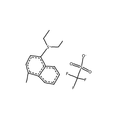 CC[S+](CC)c1ccc(C)c2ccccc12.O=S(=O)([O-])C(F)(F)F